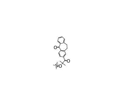 CC(C)(O[Si](C)(C)C)C(=O)c1ccc2c(c1)CCc1ccccc1C2=O